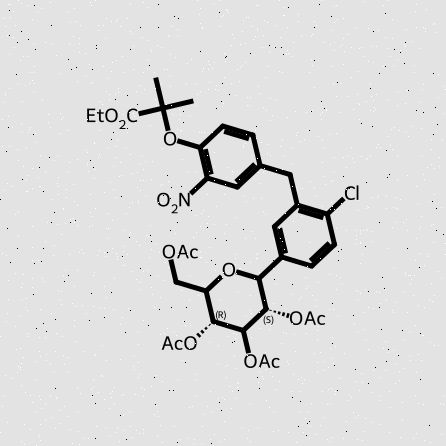 CCOC(=O)C(C)(C)Oc1ccc(Cc2cc(C3OC(COC(C)=O)[C@@H](OC(C)=O)C(OC(C)=O)[C@H]3OC(C)=O)ccc2Cl)cc1[N+](=O)[O-]